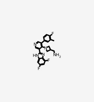 Cc1cc(-c2cncc(-c3nc4c(F)cc(F)cc4[nH]3)c2N2CC(CN)C2)ccc1F